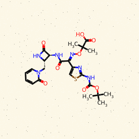 CC(C)(C)OC(=O)Nc1nc(C(=NOC(C)(C)C(=O)O)C(=O)N[C@@H]2C(=O)N[C@H]2Cn2ccccc2=O)cs1